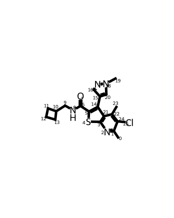 Cc1nc2sc(C(=O)NCC3CCC3)c(-c3cnn(C)c3)c2c(C)c1Cl